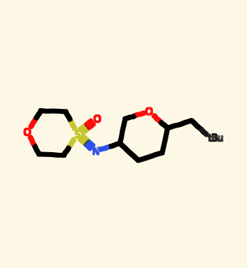 CC(C)(C)CC1CCC(N=S2(=O)CCOCC2)CO1